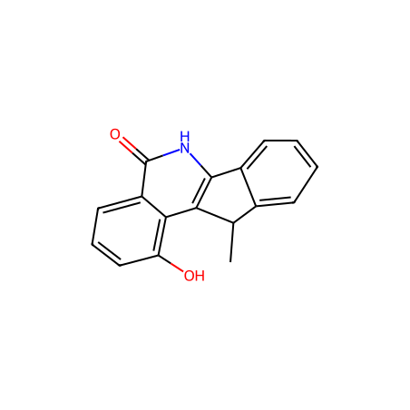 CC1c2ccccc2-c2[nH]c(=O)c3cccc(O)c3c21